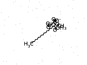 CCCCCCCCCCCCCCCc1c([N+](=O)[O-])cc([N+](=O)[O-])c(OC)c1C(=O)O